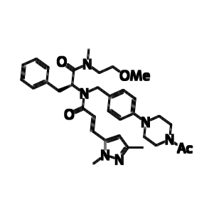 COCCN(C)C(=O)[C@H](Cc1ccccc1)N(Cc1ccc(N2CCN(C(C)=O)CC2)cc1)C(=O)C=Cc1cc(C)nn1C